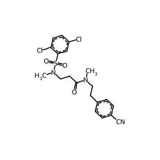 CN(CCc1ccc(C#N)cc1)C(=O)CCN(C)S(=O)(=O)c1cc(Cl)ccc1Cl